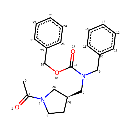 CC(=O)N1CC[C@H](CN(Cc2ccccc2)C(=O)OCc2ccccc2)C1